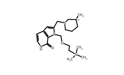 C[C@H]1CCCN(Cc2cc3cc[nH]c(=O)c3n2COCC[Si](C)(C)C)C1